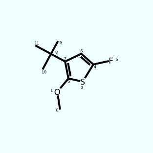 COc1sc(F)cc1C(C)(C)C